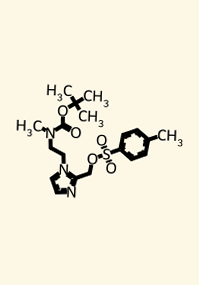 Cc1ccc(S(=O)(=O)OCc2nccn2CCN(C)C(=O)OC(C)(C)C)cc1